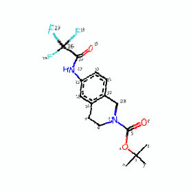 CC(C)(C)OC(=O)N1CCc2cc(NC(=O)C(F)(F)F)ccc2C1